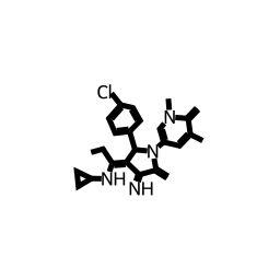 C=C1C(C)=CC(N2C(=C)C(=N)/C(=C(/CC)NC3CC3)C2c2ccc(Cl)cc2)=CN1C